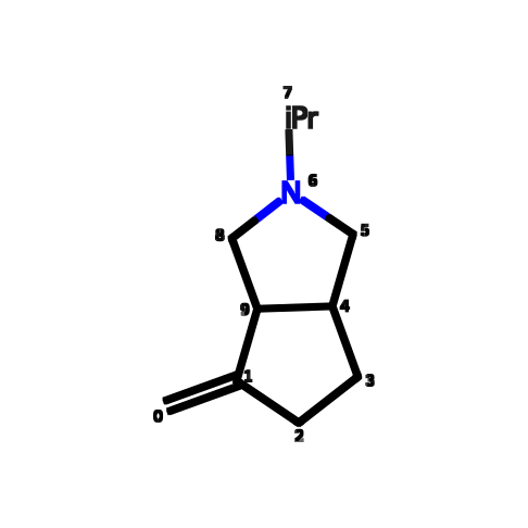 C=C1CCC2CN(C(C)C)CC12